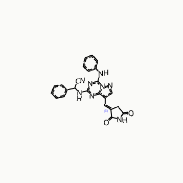 N#CC(Nc1nc(Nc2ccccc2)n2ncc(/C=C3\CC(=O)NC3=O)c2n1)c1ccccc1